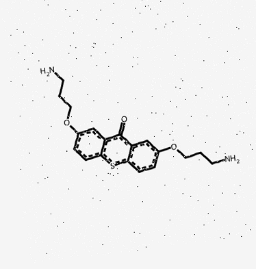 NCCCOc1ccc2sc3ccc(OCCCN)cc3c(=O)c2c1